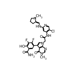 CN1CCC/C1=C\Nc1cc(NC(=O)Cn2cc(-c3cc(C(N)=O)c(O)c(F)c3F)c3c(=O)n(C)cnc32)c(Cl)cn1